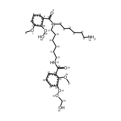 COc1cccc(C(=O)N(CCCCCCN)CCCCCCNC(=O)c2cccc(OOCO)c2OC)c1OO